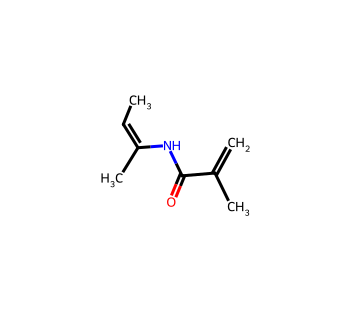 C=C(C)C(=O)N/C(C)=C\C